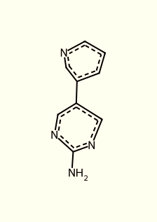 Nc1ncc(-c2cccnc2)cn1